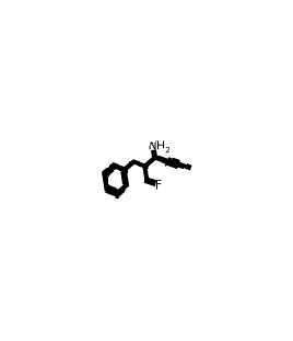 CC#CC(N)C(CF)Cc1ccccc1